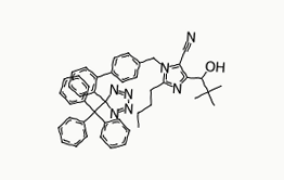 CCCCc1nc(C(O)C(C)(C)C)c(C#N)n1Cc1ccc(-c2ccccc2C2(C(c3ccccc3)(c3ccccc3)c3ccccc3)N=NN=N2)cc1